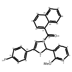 COc1ncccc1C1SC(c2ccc(F)cc2)=CN1C(=O)c1cccc2ccccc12